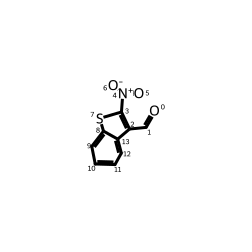 O=Cc1c([N+](=O)[O-])sc2ccccc12